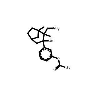 CC(C)(C)C(=O)Oc1cccc(C2(O)CC3CCC(C)(C3)C2(C)CN)c1